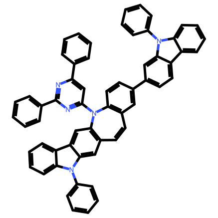 C1=Cc2cc3c(cc2N(c2cc(-c4ccccc4)nc(-c4ccccc4)n2)c2ccc(-c4ccc5c6ccccc6n(-c6ccccc6)c5c4)cc21)c1ccccc1n3-c1ccccc1